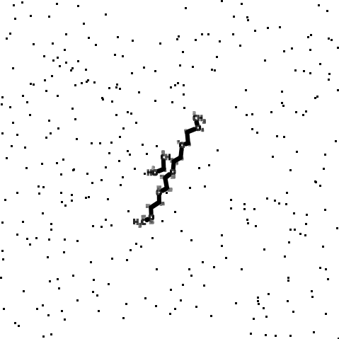 CCO.COCCOCCOCCOCCOC